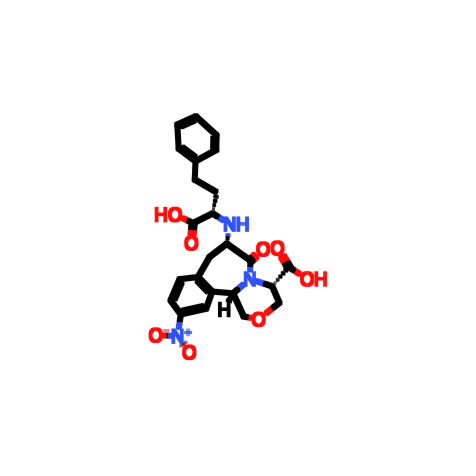 O=C(O)[C@H](CCc1ccccc1)N[C@H]1Cc2ccc([N+](=O)[O-])cc2[C@H]2COC[C@@H](C(=O)O)N2C1=O